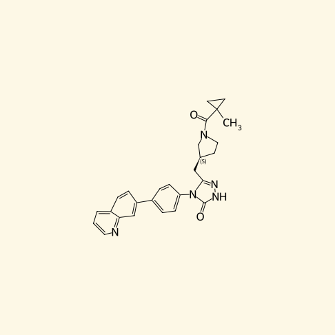 CC1(C(=O)N2CC[C@@H](Cc3n[nH]c(=O)n3-c3ccc(-c4ccc5cccnc5c4)cc3)C2)CC1